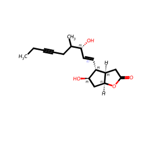 CCC#CCC(C)[C@H](O)/C=C/[C@@H]1[C@H]2CC(=O)O[C@H]2C[C@H]1O